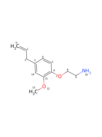 C=CCc1ccc(OCCN)c(OC)c1